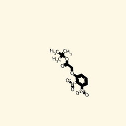 CC(C)(C)OC(=O)COc1cccc([N+](=O)[O-])c1[N+](=O)[O-]